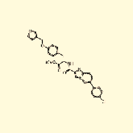 COC(=O)[C@H](Cc1ccc(OCc2ccoc2)cc1)NC(=O)c1cn2cc(-c3ccc(Cl)cc3)ccc2n1